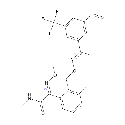 C=Cc1cc(/C(C)=N/OCc2c(C)cccc2/C(=N\OC)C(=O)NC)cc(C(F)(F)F)c1